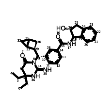 CCC1(CC)CC(=O)N([C@@H](c2cccc(C(=O)NC3c4ccccc4C[C@H]3O)c2)[C@@H]2CC3CC32)C(=N)N1